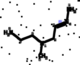 CN(C/C=N/N)CCN